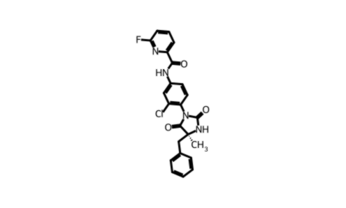 C[C@@]1(Cc2ccccc2)NC(=O)N(c2ccc(NC(=O)c3cccc(F)n3)cc2Cl)C1=O